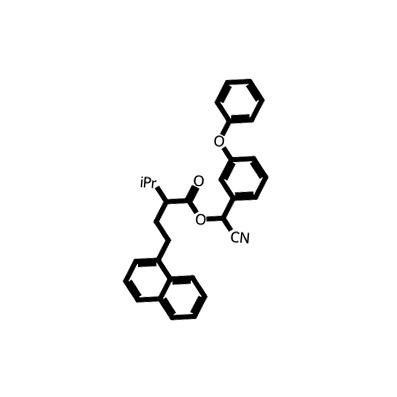 CC(C)C(CCc1cccc2ccccc12)C(=O)OC(C#N)c1cccc(Oc2ccccc2)c1